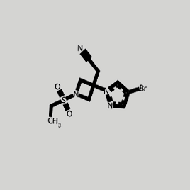 CCS(=O)(=O)N1CC(CC#N)(n2cc(Br)cn2)C1